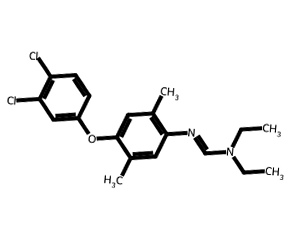 CCN(C=Nc1cc(C)c(Oc2ccc(Cl)c(Cl)c2)cc1C)CC